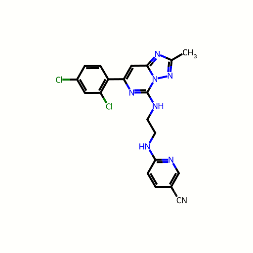 Cc1nc2cc(-c3ccc(Cl)cc3Cl)nc(NCCNc3ccc(C#N)cn3)n2n1